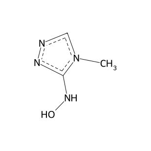 Cn1cnnc1NO